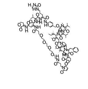 CC[C@H](C)C([C@@H](CC(=O)N1CCC[C@H]1[C@H](OC)[C@@H](C)C(=O)N[C@@H](Cc1ccccc1)C(=O)N[C@H]1CCOC1=O)OC)N(C)C(=O)[C@@H](NC(=O)[C@H](C(C)C)N(C)C(=O)OCc1ccc(NC(=O)[C@H](CCCNC(N)=O)NC(=O)[C@@H](NC(=O)[C@H](CC(=O)N[C@H]2CCOC2=O)NC(=O)CCOCCOCCOCCOCCNC(=O)CCN2C(=O)C=CC2=O)C(C)C)cc1)C(C)C